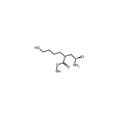 CC[C@@H](N)CN(CCCCO)C(=O)OC(C)(C)C